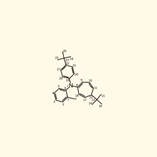 Cc1ccccc1N(C1=CC=CC(C(C)(C)C)C=C1)c1ccc(C(C)(C)C)cc1